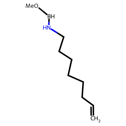 C=CCCCCCCNBOC